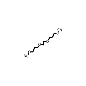 N#COCCCOCCOCCCOC#N